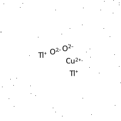 [Cu+2].[O-2].[O-2].[Tl+].[Tl+]